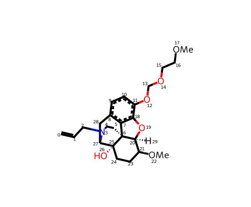 C=CCN1CC[C@]23c4c5ccc(OCOCCOC)c4O[C@H]2C(OC)CC[C@@]3(O)C1C5